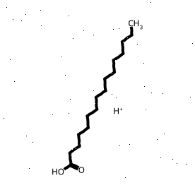 CCCCCCCCCCCCCCCC(=O)O.[H+]